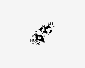 Nc1ncnc2c1ncn2[C@@H]1C2C[C@@]2(CO)C(O)[C@]12CO2